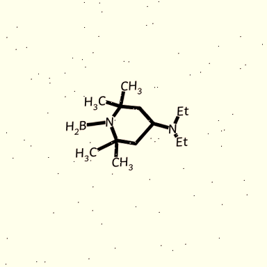 BN1C(C)(C)CC(N(CC)CC)CC1(C)C